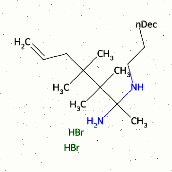 Br.Br.C=CCC(C)(C)C(C)(C)C(C)(N)NCCCCCCCCCCCC